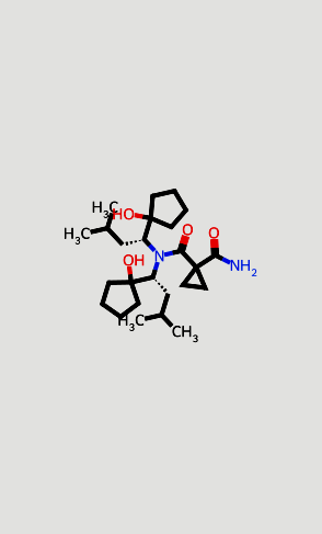 CC(C)C[C@@H](N(C(=O)C1(C(N)=O)CC1)[C@H](CC(C)C)C1(O)CCCC1)C1(O)CCCC1